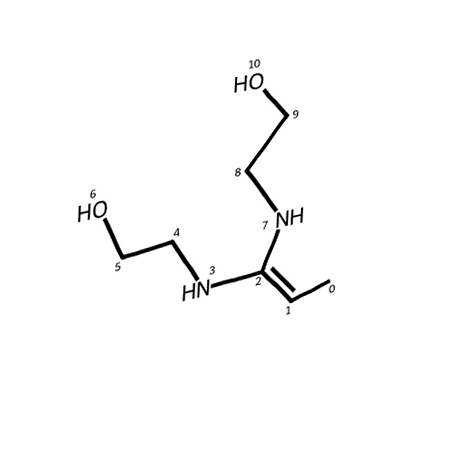 CC=C(NCCO)NCCO